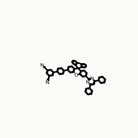 N#Cc1cc(C#N)cc(-c2ccc(-c3ccc4c(c3)Oc3cc(-c5nc(-c6ccccc6)cc(-c6ccccc6)n5)ccc3C43c4ccccc4-c4ccccc43)cc2)c1